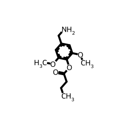 CCCC(=O)Oc1c(OC)cc(CN)cc1OC